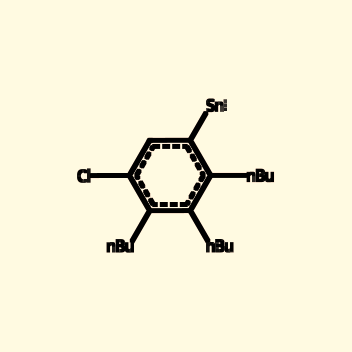 CCCCc1c(Cl)c[c]([Sn])c(CCCC)c1CCCC